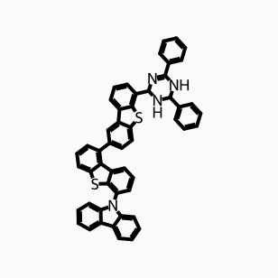 c1ccc(C2=NC(c3cccc4c3sc3ccc(-c5cccc6sc7c(-n8c9ccccc9c9ccccc98)cccc7c56)cc34)NC(c3ccccc3)N2)cc1